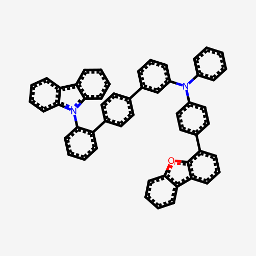 c1ccc(N(c2ccc(-c3cccc4c3oc3ccccc34)cc2)c2cccc(-c3ccc(-c4ccccc4-n4c5ccccc5c5ccccc54)cc3)c2)cc1